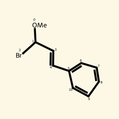 COC(Br)/C=C/c1ccccc1